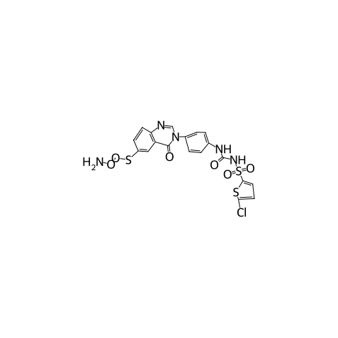 NOOSc1ccc2ncn(-c3ccc(NC(=O)NS(=O)(=O)c4ccc(Cl)s4)cc3)c(=O)c2c1